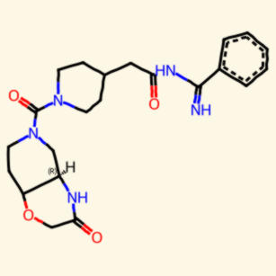 N=C(NC(=O)CC1CCN(C(=O)N2CCC3OCC(=O)N[C@@H]3C2)CC1)c1ccccc1